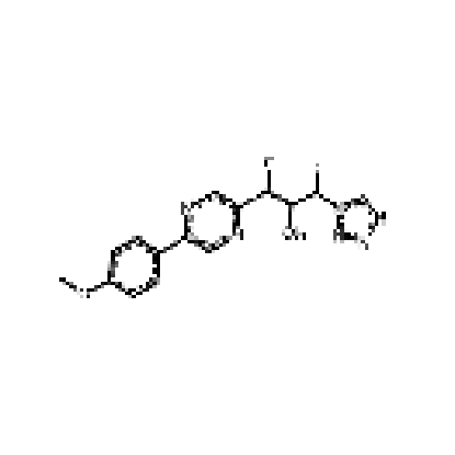 COc1ccc(-c2cnc(C(F)C(O)C(F)n3cnnn3)cn2)cc1